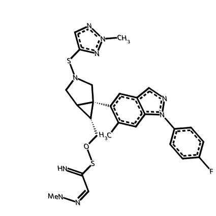 CN/N=C\C(=N)SOC[C@@H]1C2CN(Sc3cnn(C)n3)C[C@]21c1cc2cnn(-c3ccc(F)cc3)c2cc1C